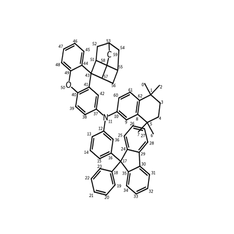 CC1(C)CCC(C)(C)c2cc(N(c3cccc(C4(c5ccccc5)c5ccccc5-c5ccccc54)c3)c3ccc4c(c3)C3(c5ccccc5O4)C4CC5CC6CC3C64C5)ccc21